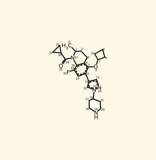 CC1CCc2c(OC3CCC3)c(-c3cnn(C4CCNCC4)c3)cc(F)c2N1C(=O)C1CC1